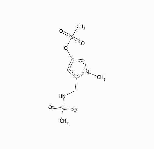 Cn1cc(OS(C)(=O)=O)cc1CNS(C)(=O)=O